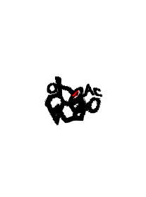 C=C1C(=O)CC2CC34CC3(C)CCC35OC3(C)C[C@H](OC(C)=O)C1(C45)C2(C)C